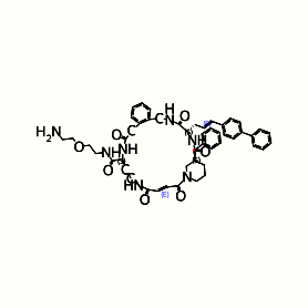 NCCOCCNC(=O)[C@@H]1CCNC(=O)/C=C/C(=O)N2CCC[C@](Cc3ccccc3)(C2)C(=O)N[C@@H](C/C=C/c2ccc(-c3ccccc3)cc2)C(=O)NCc2ccccc2CC(=O)N1